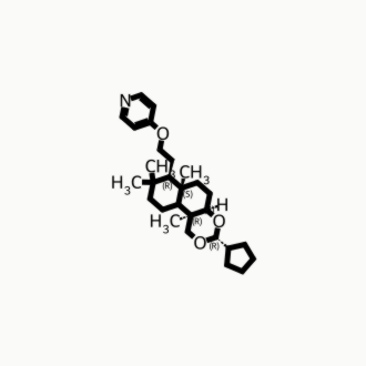 CC1(C)CCC2[C@]3(C)CO[C@@H](C4CCCC4)O[C@@H]3CC[C@@]2(C)[C@@H]1CCOc1ccncc1